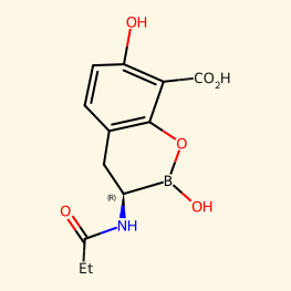 CCC(=O)N[C@H]1Cc2ccc(O)c(C(=O)O)c2OB1O